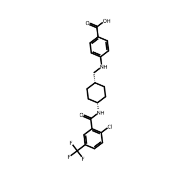 O=C(O)c1ccc(NC[C@H]2CC[C@@H](NC(=O)c3cc(C(F)(F)F)ccc3Cl)CC2)cc1